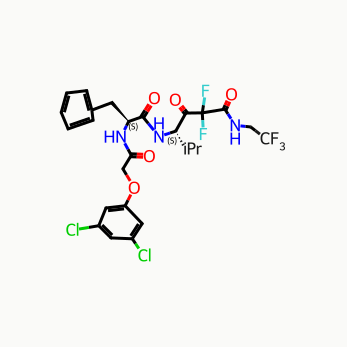 CC(C)[C@H](NC(=O)[C@H](Cc1ccccc1)NC(=O)COc1cc(Cl)cc(Cl)c1)C(=O)C(F)(F)C(=O)NCC(F)(F)F